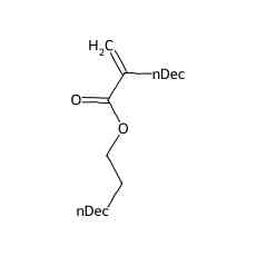 C=C(CCCCCCCCCC)C(=O)OCCCCCCCCCCCC